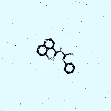 NC(=Nc1ccccc1)NC(=O)c1ccnc2cccc([N+](=O)[O-])c12